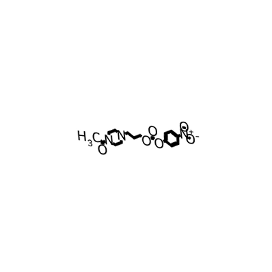 CC(=O)N1CCN(CCCOC(=O)Oc2ccc([N+](=O)[O-])cc2)CC1